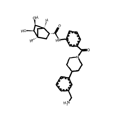 NCc1cccc(C2CCN(C(=O)c3cccc(NC(=O)[C@@H]4C[C@@H]5C[C@H]4[C@H](O)[C@@H]5O)c3)CC2)c1